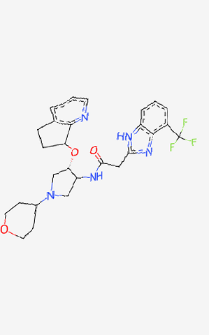 O=C(Cc1nc2c(C(F)(F)F)cccc2[nH]1)NC1CN(C2CCOCC2)C[C@@H]1OC1CCc2cccnc21